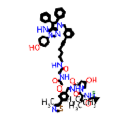 Cc1ncsc1-c1ccc(CNC(=O)[C@@H]2C[C@@H](O)CN2C(=O)[C@@H](NC(=O)C2(F)CC2)C(C)(C)C)c(OCC(=O)NCC(=O)NCCCCC#Cc2cccc(Cn3c(-c4ccccc4)c(-c4ccccc4)c4c(=N)n(C5CCC(O)CC5)cnc43)c2)c1